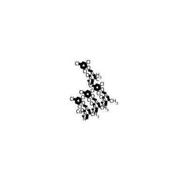 CCCN(CCOc1c(Cl)cc(Cl)cc1Cl)C(=O)n1ccnc1.CCCN(CCOc1c(Cl)cc(Cl)cc1Cl)C(=O)n1ccnc1.CCCN(CCOc1c(Cl)cc(Cl)cc1Cl)C(=O)n1ccnc1.CCCN(CCOc1c(Cl)cc(Cl)cc1Cl)C(=O)n1ccnc1.[Cu+2]